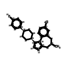 CN1Cc2cc(Cl)ccc2-n2c(nnc2[C@H]2CC[C@@H](c3ccc(F)cc3)CC2)C1